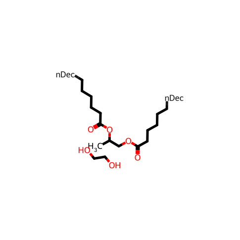 CCCCCCCCCCCCCCCC(=O)OCC(C)OC(=O)CCCCCCCCCCCCCCC.OCCO